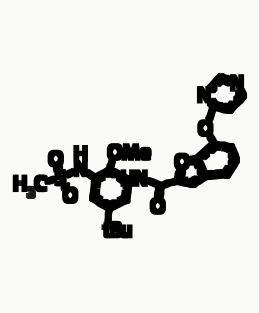 COc1c(NC(=O)c2cc3cccc(Oc4ccncn4)c3o2)cc(C(C)(C)C)cc1NS(C)(=O)=O